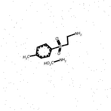 Cc1ccc(S(=O)(=O)CCN)cc1.NC(=O)O